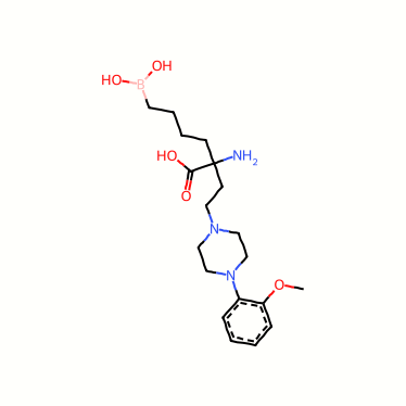 COc1ccccc1N1CCN(CCC(N)(CCCCB(O)O)C(=O)O)CC1